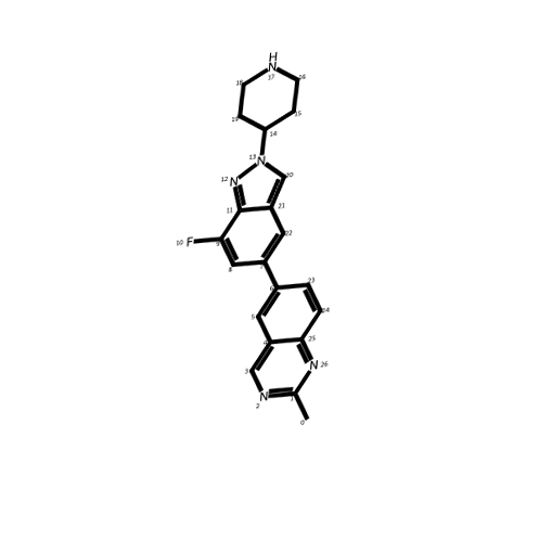 Cc1ncc2cc(-c3cc(F)c4nn(C5CCNCC5)cc4c3)ccc2n1